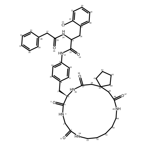 O=C1CNC(=O)[C@@H](Cc2ccc(NC(=O)C(Cc3ccccc3Cl)NC(=O)Cc3ccccc3)cc2)NC(=O)CC2(CCCC2)CC(=O)NCCCCCN1